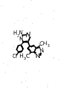 Cc1ncnc2c(C)cc(-c3cnc(N)nc3-c3ccc(Cl)cc3)cc12